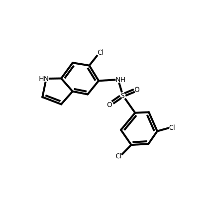 O=S(=O)(Nc1cc2cc[nH]c2cc1Cl)c1cc(Cl)cc(Cl)c1